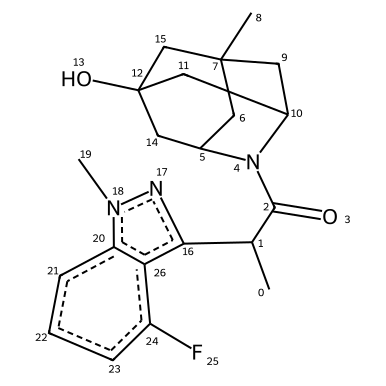 CC(C(=O)N1C2CC3(C)CC1CC(O)(C2)C3)c1nn(C)c2cccc(F)c12